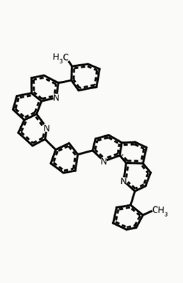 Cc1ccccc1-c1ccc2ccc3ccc(-c4cccc(-c5ccc6ccc7ccc(-c8ccccc8C)nc7c6n5)c4)nc3c2n1